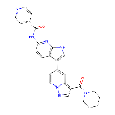 O=C(Nc1ccc2c(-c3ccn4ncc(C(=O)N5CCCCC5)c4c3)c[nH]c2n1)c1ccncc1